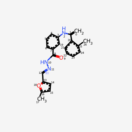 C=C(Nc1cccc(C(=O)N/N=C/c2ccc(C)o2)c1)c1ccccc1C